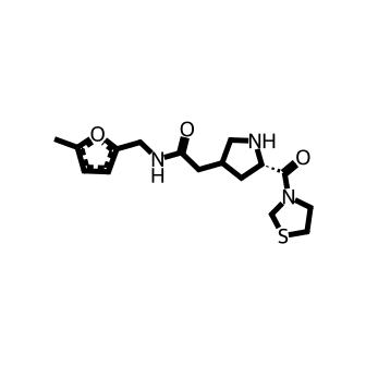 Cc1ccc(CNC(=O)CC2CN[C@H](C(=O)N3CCSC3)C2)o1